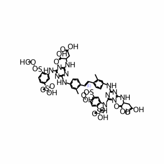 Cc1cc(Nc2nc(Nc3cc(S(=O)(=O)O)ccc3SOOO)nc(NC(CC(=O)O)C(=O)O)n2)ccc1/C=C/c1ccc(Nc2nc(Nc3cc(SOOO)ccc3S(=O)(=O)O)nc(NC(CC(=O)O)C(=O)O)n2)cc1C